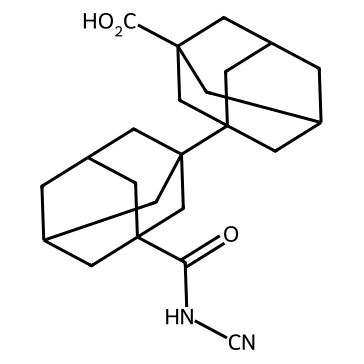 N#CNC(=O)C12CC3CC(C1)CC(C14CC5CC(CC(C(=O)O)(C5)C1)C4)(C3)C2